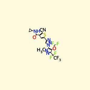 Cn1nc(C(F)(F)C(F)(F)F)c(OC(F)F)c1-n1cc(-c2cc(C(=O)NC3CC3)c(C#N)s2)nn1